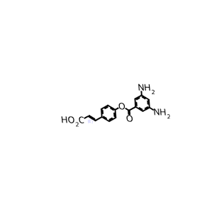 Nc1cc(N)cc(C(=O)Oc2ccc(/C=C/C(=O)O)cc2)c1